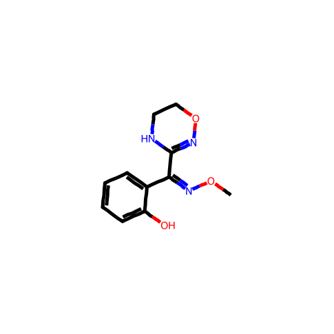 CO/N=C(\C1=NOCCN1)c1ccccc1O